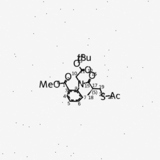 COC(=O)c1ccccc1N(CC(=O)OC(C)(C)C)C(=O)[C@H](C)CSC(C)=O